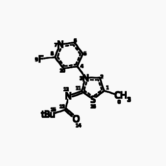 Cc1cn(-c2ccnc(F)c2)c(=NC(=O)C(C)(C)C)s1